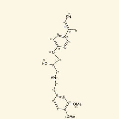 COc1ccc(CCNCC(O)COc2ccc(/C(C)=C/C#N)cc2)cc1OC